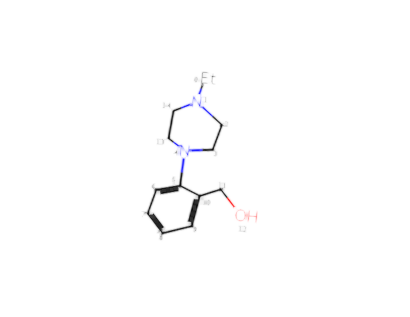 CCN1CCN(c2cc[c]cc2CO)CC1